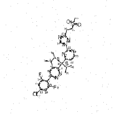 CC[C@H](C)c1cc(-c2c(F)cc(Cl)cc2F)nnc1[C@](C)(c1ccnc(-n2cnc(CCS(C)(=O)=O)n2)n1)C(C)C